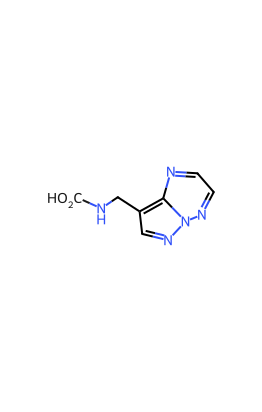 O=C(O)NCc1cnn2nccnc12